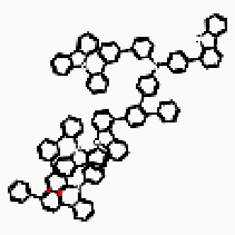 c1ccc(-c2ccc(-c3ccccc3N(c3ccc(-c4cccc5c4oc4cccc(-c6ccc(-c7ccccc7)c(-c7ccc(N(c8ccc(-c9cccc%10c9oc9ccccc9%10)cc8)c8cccc(-c9cccc(-c%10ccccc%10-n%10c%11ccccc%11c%11ccccc%11%10)c9)c8)cc7)c6)c45)cc3)c3cccc(-c4cccc(-c5ccccc5-n5c6ccccc6c6ccccc65)c4)c3)cc2)cc1